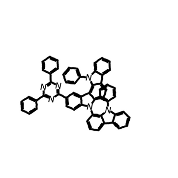 c1ccc(-c2nc(-c3ccccc3)nc(-c3ccc4c(c3)c3c(ccc5c6ccccc6n(-c6ccccc6)c53)n4-c3cccc4c5ccccc5n(-c5ccccc5)c34)n2)cc1